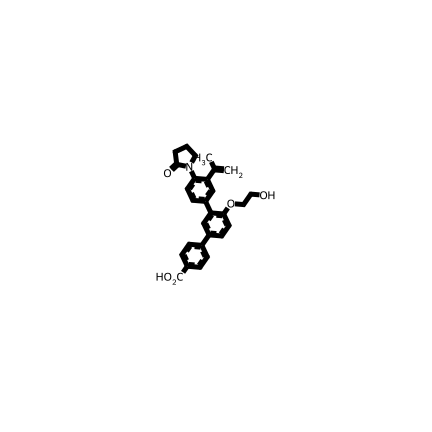 C=C(C)c1cc(-c2cc(-c3ccc(C(=O)O)cc3)ccc2OCCO)ccc1N1CCCC1=O